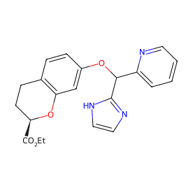 CCOC(=O)[C@H]1CCc2ccc(OC(c3ccccn3)c3ncc[nH]3)cc2O1